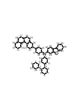 c1ccc(-c2ccccc2-c2ccc(N(c3ccc(-c4ccc5c(ccc6ccc7ccccc7c65)c4)cc3)c3ccc4c(c3)oc3ccccc34)cc2)cc1